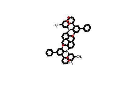 Cc1cc(C)cc(N(c2c(F)cc(-c3ccccc3)cc2-c2ccccc2)c2ccc3ccc4c(N(c5cc(C)cc(C)c5)c5c(F)cc(-c6ccccc6)cc5-c5ccccc5)ccc5ccc2c3c54)c1